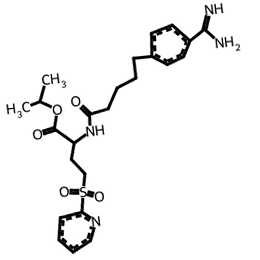 CC(C)OC(=O)C(CCS(=O)(=O)c1ccccn1)NC(=O)CCCCc1ccc(C(=N)N)cc1